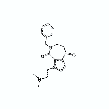 CN(C)CCn1ccc2c1C(=O)N(Cc1ccccc1)CCC2=O